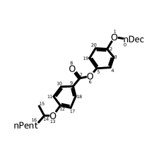 CCCCCCCCCCOc1ccc(OC(=O)c2ccc(OC(C)CCCCC)cc2)cc1